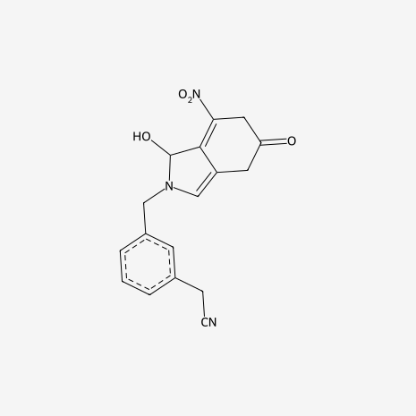 N#CCc1cccc(CN2C=C3CC(=O)CC([N+](=O)[O-])=C3C2O)c1